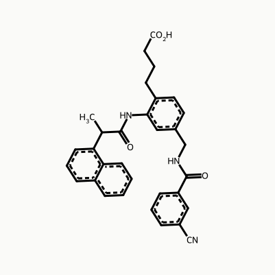 CC(C(=O)Nc1cc(CNC(=O)c2cccc(C#N)c2)ccc1CCCC(=O)O)c1cccc2ccccc12